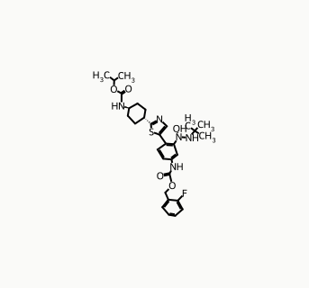 CC(C)OC(=O)N[C@H]1CC[C@H](c2ncc(-c3ccc(NC(=O)OCc4ccccc4F)cc3N(O)NC(C)(C)C)s2)CC1